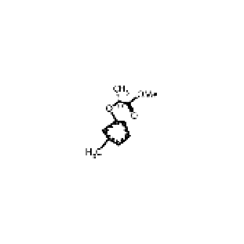 COC(=O)[C@@H](C)Oc1cccc(C)c1